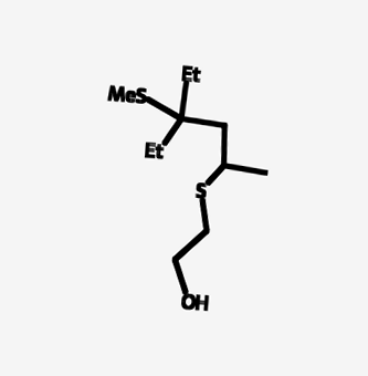 CCC(CC)(CC(C)SCCO)SC